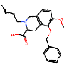 CCCCN1Cc2ccc(OC)c(OCc3ccccc3)c2CC1C(=O)O